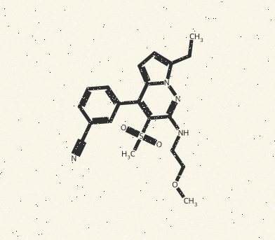 CCc1ccc2c(-c3cccc(C#N)c3)c(S(C)(=O)=O)c(NCCOC)nn12